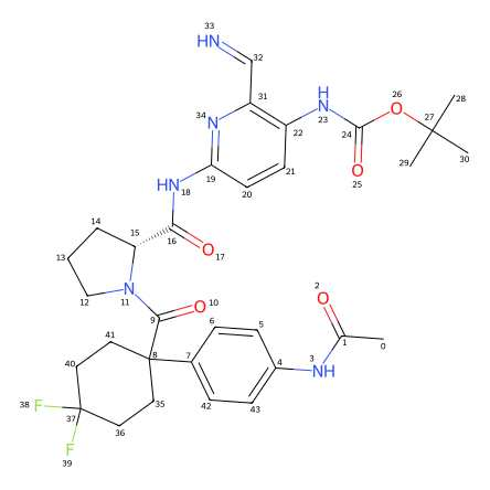 CC(=O)Nc1ccc(C2(C(=O)N3CCC[C@@H]3C(=O)Nc3ccc(NC(=O)OC(C)(C)C)c(C=N)n3)CCC(F)(F)CC2)cc1